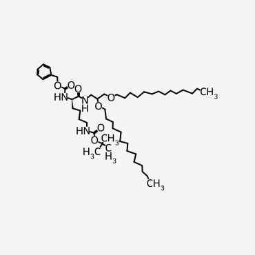 CCCCCCCCCCCCCCOCC(CNC(=O)[C@@H](CCCCNC(=O)OC(C)(C)C)NC(=O)OCc1ccccc1)OCCCCCCCCCCCCCC